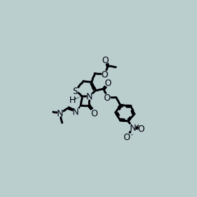 CC(=O)OCC1=C(C(=O)OCc2ccc([N+](=O)[O-])cc2)N2C(=O)[C@@H](N=CN(C)C)[C@H]2SC1